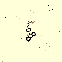 CCOC(=O)CCCN1CCN(C2=Nc3ccccc3Cc3ccccc32)CC1